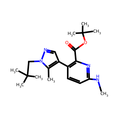 CNc1ccc(-c2cnn(CC(C)(C)C)c2C)c(C(=O)OC(C)(C)C)n1